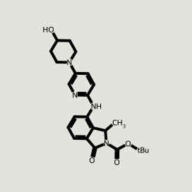 CC1c2c(Nc3ccc(N4CCC(O)CC4)cn3)cccc2C(=O)N1C(=O)OC(C)(C)C